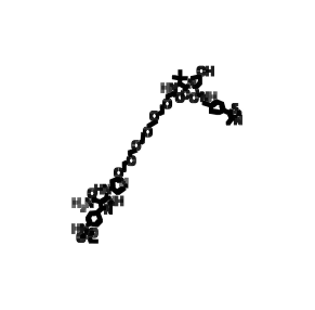 CCS(=O)(=O)Nc1ccc(-c2n[nH]c(Nc3ccnc(OCCOCCOCCOCCOCCOCC(=O)N[C@H](C(=O)N4C[C@H](O)C[C@H]4C(=O)NCc4ccc(-c5scnc5C)cc4)C(C)(C)C)c3)c2C(N)=O)cc1